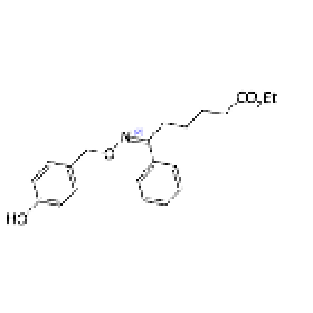 CCOC(=O)CCCC/C(=N/OCc1ccc(O)cc1)c1ccccc1